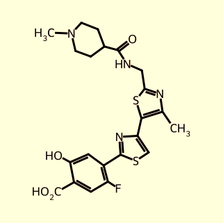 Cc1nc(CNC(=O)C2CCN(C)CC2)sc1-c1csc(-c2cc(O)c(C(=O)O)cc2F)n1